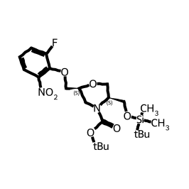 CC(C)(C)OC(=O)N1C[C@@H](COc2c(F)cccc2[N+](=O)[O-])OC[C@H]1CO[Si](C)(C)C(C)(C)C